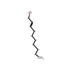 CCCCCCC/C=C/CBr